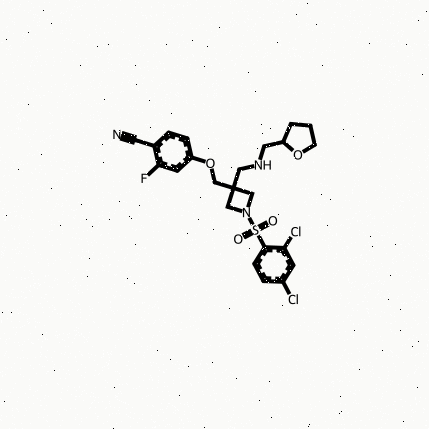 N#Cc1ccc(OCC2(CNCC3CCCO3)CN(S(=O)(=O)c3ccc(Cl)cc3Cl)C2)cc1F